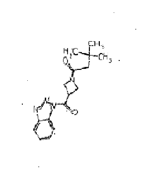 CC(C)(C)CC(=O)N1CC(C(=O)n2nnc3ccccc32)C1